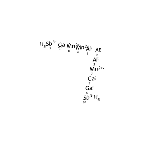 [Al].[Al].[Al].[Ga].[Ga].[Ga].[Mn+2].[Mn+2].[Mn+2].[SbH6-3].[SbH6-3]